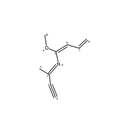 C#C/C(C)=N/C(=C\C=C)OC